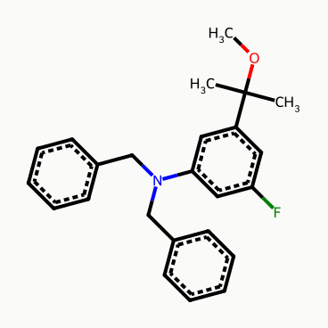 COC(C)(C)c1cc(F)cc(N(Cc2ccccc2)Cc2ccccc2)c1